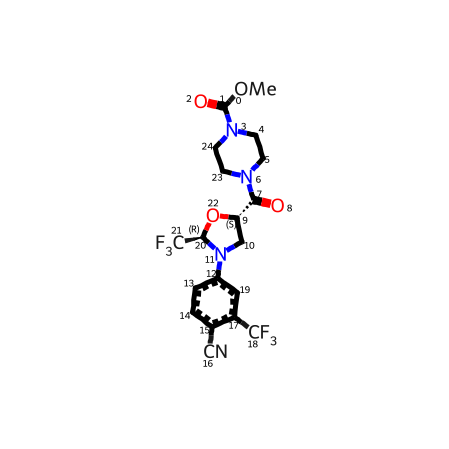 COC(=O)N1CCN(C(=O)[C@@H]2CN(c3ccc(C#N)c(C(F)(F)F)c3)[C@@H](C(F)(F)F)O2)CC1